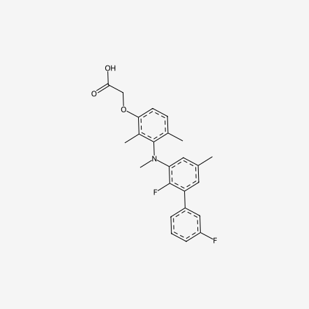 Cc1cc(-c2cccc(F)c2)c(F)c(N(C)c2c(C)ccc(OCC(=O)O)c2C)c1